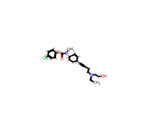 CCN(CCO)CCC#C[C@H]1CC[C@H](N(C)C(=O)Oc2ccc(Cl)cc2)CC1